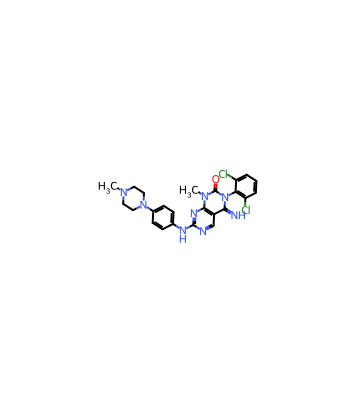 CN1CCN(c2ccc(Nc3ncc4c(=N)n(-c5c(Cl)cccc5Cl)c(=O)n(C)c4n3)cc2)CC1